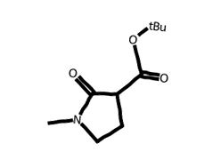 CN1CCC(C(=O)OC(C)(C)C)C1=O